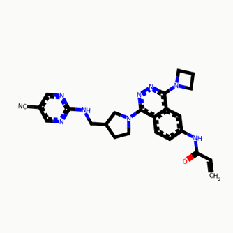 C=CC(=O)Nc1ccc2c(N3CCC(CNc4ncc(C#N)cn4)C3)nnc(N3CCC3)c2c1